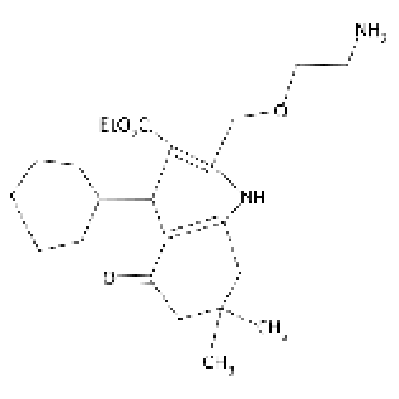 CCOC(=O)C1=C(COCCN)NC2=C(C(=O)CC(C)(C)C2)C1C1CCCCC1